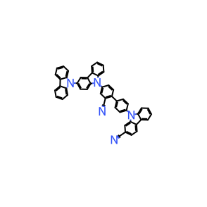 N#Cc1ccc2c3ccccc3n(-c3ccc(-c4ccc(-n5c6ccccc6c6cc(-n7c8ccccc8c8ccccc87)ccc65)cc4C#N)cc3)c2c1